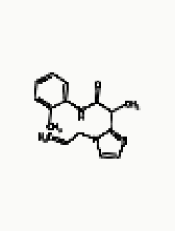 C=CCn1ccnc1C(C)C(=O)Nc1ccccc1C